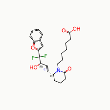 O=C(O)CCCCCCN1C(=O)CCC[C@@H]1/C=C/[C@@H](O)C(F)(F)c1cc2ccccc2o1